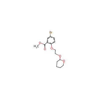 COC(=O)c1cc(Br)ccc1OCCOC1CCCCO1